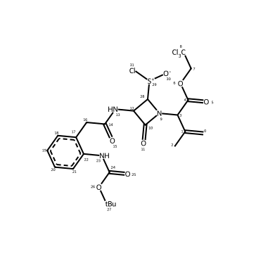 C=C(C)C(C(=O)OCC(Cl)(Cl)Cl)N1C(=O)C(NC(=O)Cc2ccccc2NC(=O)OC(C)(C)C)C1[S+]([O-])Cl